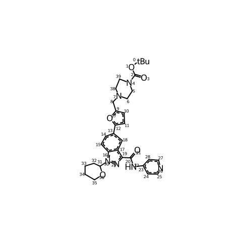 CC(C)(C)OC(=O)N1CCN(Cc2ccc(-c3ccc4c(c3)c(C(=O)Nc3ccncc3)nn4C3CCCCO3)o2)CC1